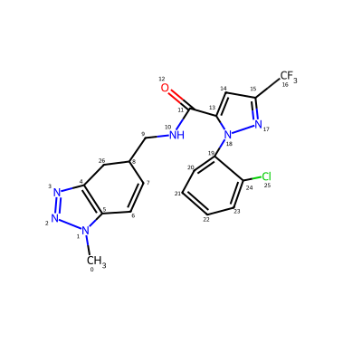 Cn1nnc2c1C=CC(CNC(=O)c1cc(C(F)(F)F)nn1-c1ccccc1Cl)C2